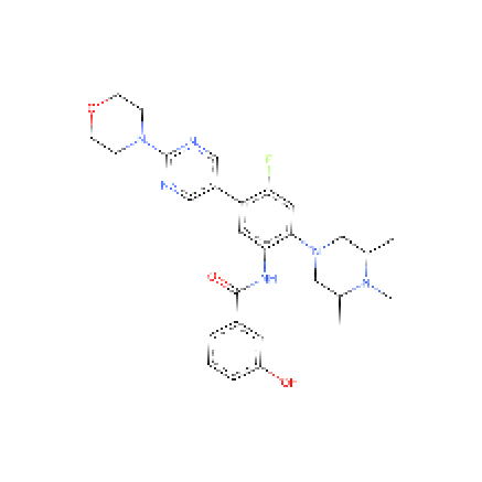 CC1CN(c2cc(F)c(-c3cnc(N4CCOCC4)nc3)cc2NC(=O)c2cccc(O)c2)CC(C)N1C